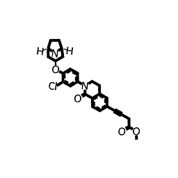 COC(=O)CC#Cc1ccc2c(c1)CCN(c1ccc(O[C@H]3C[C@H]4CC[C@@H](C3)N4C)c(Cl)c1)C2=O